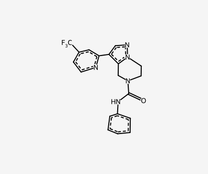 O=C(Nc1ccccc1)N1CCn2ncc(-c3cc(C(F)(F)F)ccn3)c2C1